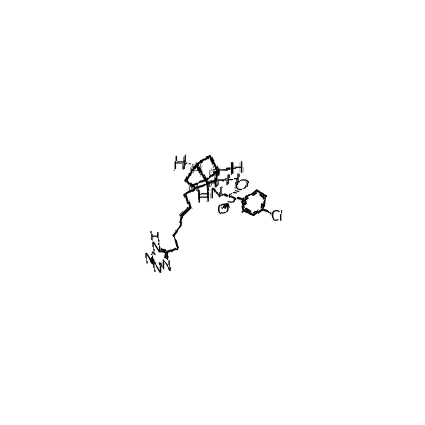 CC1(C)[C@H]2C[C@H](CC=CCCCc3nnn[nH]3)[C@@H](NS(=O)(=O)c3ccc(Cl)cc3)[C@H]1C2